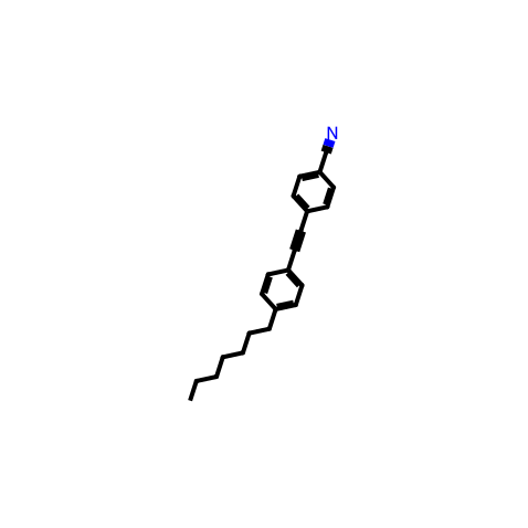 CCCCCCCc1ccc(C#Cc2ccc(C#N)cc2)cc1